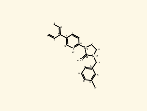 C=C/C(=C\C)c1ccc(N2CCN(Cc3cccc(C)c3)C2=O)nc1